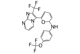 FC(F)(F)Oc1ccc(NC2C=CC=C(c3c(C(F)(F)F)nc4ncccn34)O2)cc1